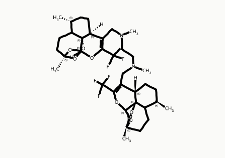 C[C@@H]1CC[C@H]2C(CN(C)CCN(C)CC3=C(C(F)(F)F)O[C@@H]4O[C@]5(C)CCC6[C@H](C)CC[C@@H]3[C@]64OO5)=C(C(F)(F)F)O[C@@H]3O[C@]4(C)CCC1[C@]32OO4